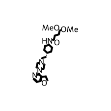 COC(CCC(=O)N[C@H]1CC[C@H](CCN2CCN(c3nccc4c3CCO4)CC2)CC1)OC